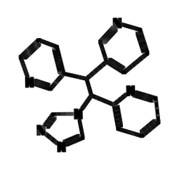 c1ccc(C(C(c2cccnc2)c2cccnc2)n2cnnc2)nc1